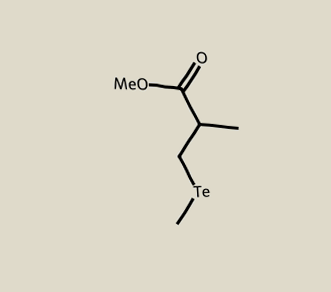 COC(=O)C(C)C[Te]C